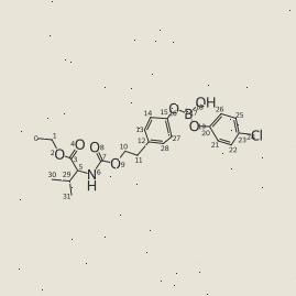 CCOC(=O)C(NC(=O)OCCc1ccc(OB(O)Oc2ccc(Cl)cc2)cc1)C(C)C